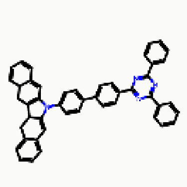 C1=CC2=CC3=C(CC2C=C1)C1Cc2ccccc2C=C1N3c1ccc(-c2ccc(-c3nc(-c4ccccc4)nc(-c4ccccc4)n3)cc2)cc1